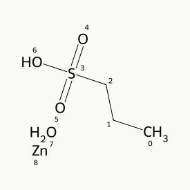 CCCS(=O)(=O)O.O.[Zn]